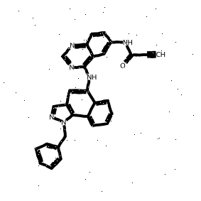 C#CC(=O)Nc1ccc2ncnc(Nc3cc4cnn(Cc5ccccc5)c4c4ccccc34)c2c1